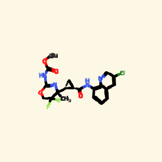 CC(C)(C)OC(=O)NC1=N[C@](C)([C@@H]2C[C@H]2C(=O)Nc2cccc3cc(Cl)cnc23)C(F)(F)CO1